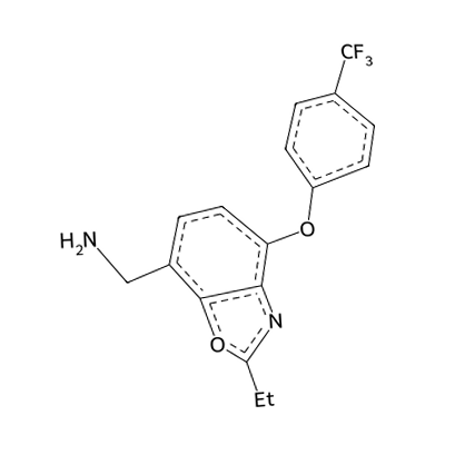 CCc1nc2c(Oc3ccc(C(F)(F)F)cc3)ccc(CN)c2o1